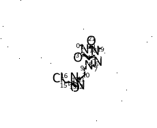 Cn1c(=O)c2c(ncn2CCc2noc(CCl)n2)n(C)c1=O